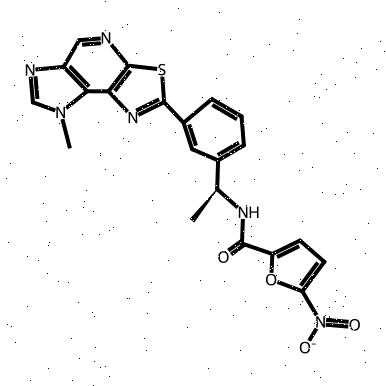 C[C@H](NC(=O)c1ccc([N+](=O)[O-])o1)c1cccc(-c2nc3c(ncc4ncn(C)c43)s2)c1